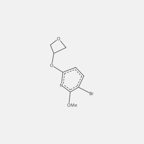 COc1nc(OC2COC2)ccc1Br